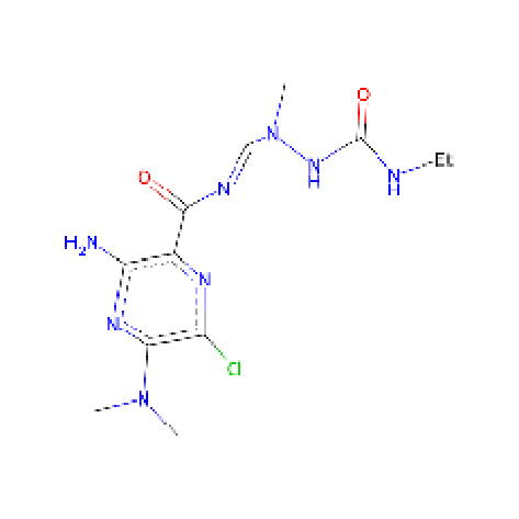 CCNC(=O)NN(C)C=NC(=O)c1nc(Cl)c(N(C)C)nc1N